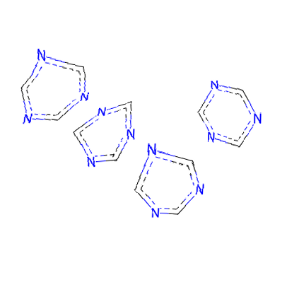 c1ncncn1.c1ncncn1.c1ncncn1.c1ncncn1